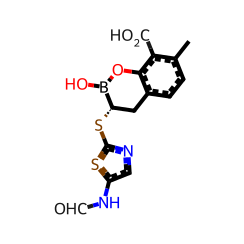 Cc1ccc2c(c1C(=O)O)OB(O)[C@@H](Sc1ncc(NC=O)s1)C2